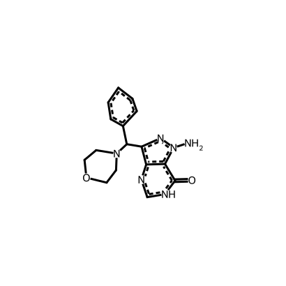 Nn1nc(C(c2ccccc2)N2CCOCC2)c2nc[nH]c(=O)c21